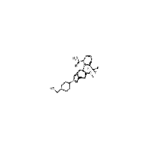 COc1cc2nn(C3CCC(CO)CC3)cc2cc1N1C(C(F)(F)F)=CC=CC1C(N)=O